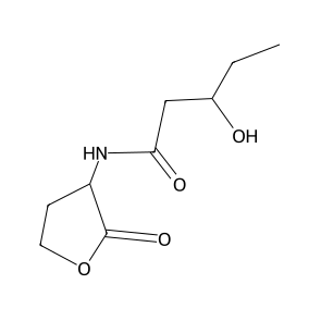 CCC(O)CC(=O)NC1CCOC1=O